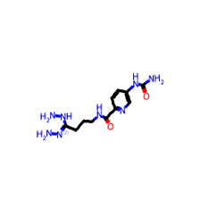 N/N=C(/CCCNC(=O)c1ccc(NC(N)=O)cn1)NN